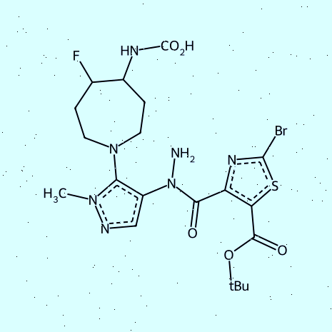 Cn1ncc(N(N)C(=O)c2nc(Br)sc2C(=O)OC(C)(C)C)c1N1CCC(F)C(NC(=O)O)CC1